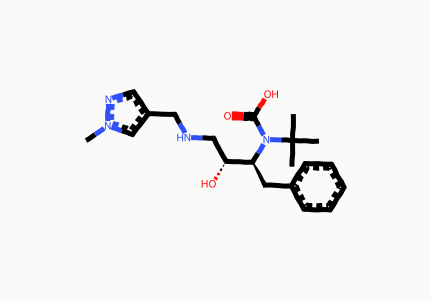 Cn1cc(CNC[C@@H](O)[C@H](Cc2ccccc2)N(C(=O)O)C(C)(C)C)cn1